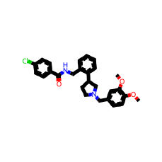 COc1ccc(CN2CCC(c3ccccc3CNC(=O)c3ccc(Cl)cc3)C2)cc1OC